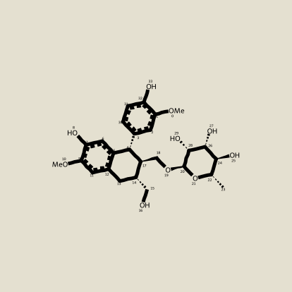 COc1cc([C@H]2c3cc(O)c(OC)cc3C[C@@H](CO)[C@@H]2CO[C@@H]2O[C@@H](C)[C@H](O)[C@@H](O)[C@H]2O)ccc1O